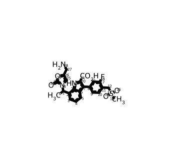 CC(c1cccc2c(-c3ccc(CS(C)(=O)=O)c(F)c3)c(C(=O)O)[nH]c12)n1cc(CN)oc1=O